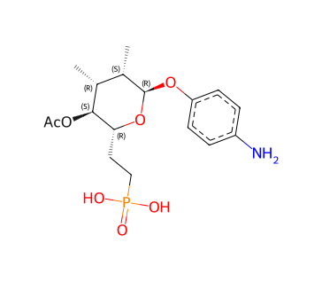 CC(=O)O[C@H]1[C@H](C)[C@H](C)[C@@H](Oc2ccc(N)cc2)O[C@@H]1CCP(=O)(O)O